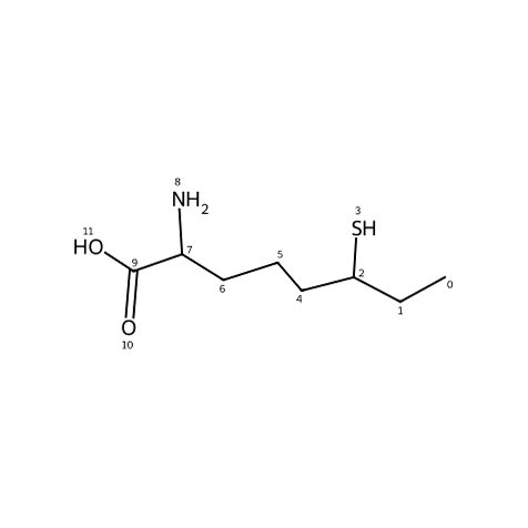 CCC(S)CCCC(N)C(=O)O